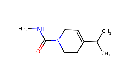 CNC(=O)N1CC=C(C(C)C)CC1